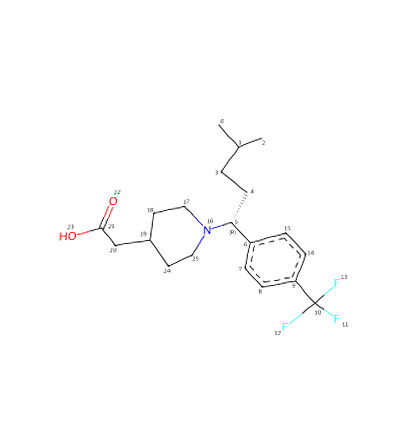 CC(C)CC[C@H](c1ccc(C(F)(F)F)cc1)N1CCC(CC(=O)O)CC1